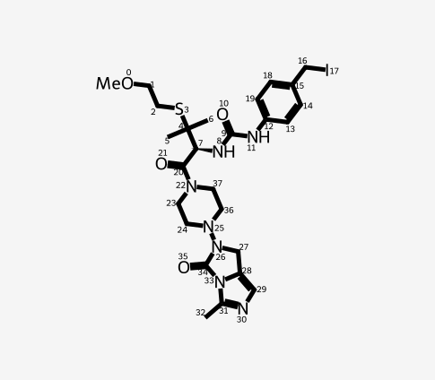 COCCSC(C)(C)[C@@H](NC(=O)Nc1ccc(CI)cc1)C(=O)N1CCN(N2Cc3cnc(C)n3C2=O)CC1